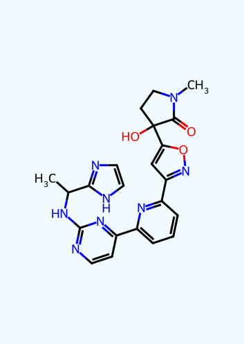 CC(Nc1nccc(-c2cccc(-c3cc(C4(O)CCN(C)C4=O)on3)n2)n1)c1ncc[nH]1